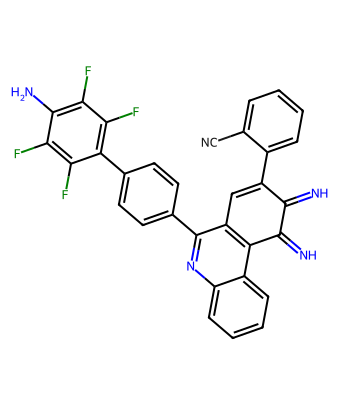 N#Cc1ccccc1C1=Cc2c(-c3ccc(-c4c(F)c(F)c(N)c(F)c4F)cc3)nc3ccccc3c2C(=N)C1=N